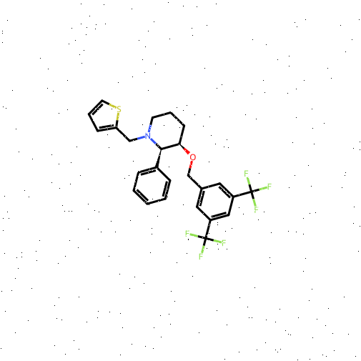 FC(F)(F)c1cc(CO[C@@H]2CCCN(Cc3cccs3)[C@@H]2c2ccccc2)cc(C(F)(F)F)c1